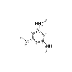 CNc1[c]c(NC)cc(NC)c1